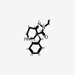 CCN1N=C2CCNC[C@@]2(Cc2ccccc2)C1=O